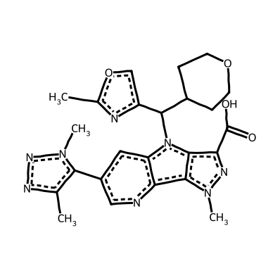 Cc1nc(C(C2CCOCC2)n2c3cc(-c4c(C)nnn4C)cnc3c3c2c(C(=O)O)nn3C)co1